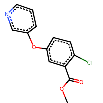 COC(=O)c1cc(Oc2cccnc2)ccc1Cl